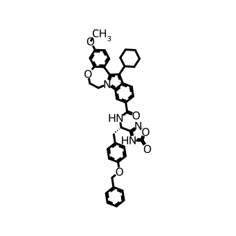 COc1ccc2c(c1)OCCn1c-2c(C2CCCCC2)c2ccc(C(=O)N[C@@H](Cc3ccc(OCc4ccccc4)cc3)c3noc(=O)[nH]3)cc21